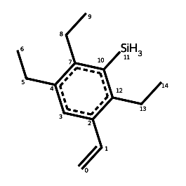 C=Cc1cc(CC)c(CC)c([SiH3])c1CC